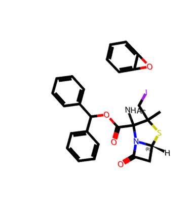 CC(=O)NC1(C(=O)OC(c2ccccc2)c2ccccc2)N2C(=O)C[C@H]2SC1(C)CI.c1ccc2c(c1)O2